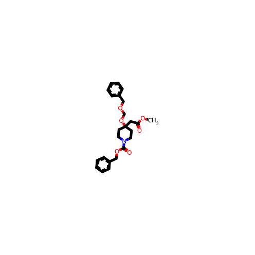 COC(=O)CC1(OCOCc2ccccc2)CCN(C(=O)OCc2ccccc2)CC1